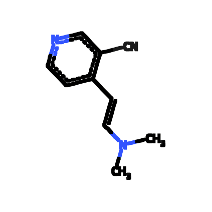 CN(C)/C=C/c1ccncc1C#N